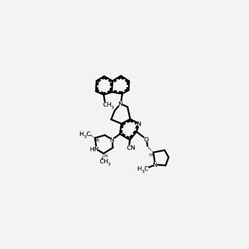 Cc1cccc2cccc(N3CCc4c(nc(OC[C@@H]5CCCN5C)c(C#N)c4N4C[C@@H](C)N[C@@H](C)C4)C3)c12